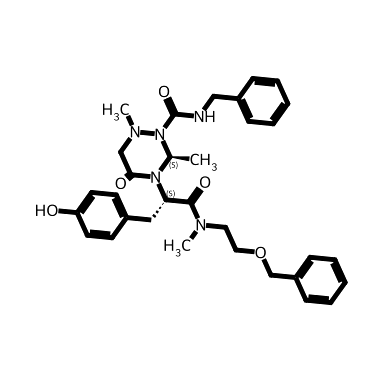 C[C@H]1N([C@@H](Cc2ccc(O)cc2)C(=O)N(C)CCOCc2ccccc2)C(=O)CN(C)N1C(=O)NCc1ccccc1